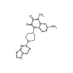 Cn1c(=O)c(=O)n(C2CCN(c3ncc4sccc4n3)CC2)c2ccc(P)cc21